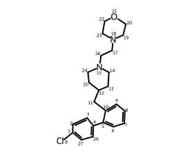 Clc1ccc(-c2ccccc2CC2CCN(CCN3CCOCC3)CC2)cc1